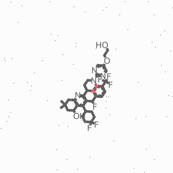 CC1(C)Cc2nc(C3CCN(c4ncc(OCCO)cn4)CC3)c(C(F)c3ccc(C(F)(F)F)cc3)c(C3CCC(F)(F)CC3)c2C(O)C1